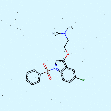 CN(C)CCOc1cn(S(=O)(=O)c2ccccc2)c2ccc(Br)cc12